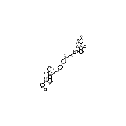 C=CC(=O)Nc1cc2c(Nc3ccc(F)c(Cl)c3)ncnc2cc1OCCCN1CCC(N2CCN(C(=O)CCOCCNc3cccc4c3C(=O)N(C3CCC(=O)NC3=O)C4=O)CC2)CC1